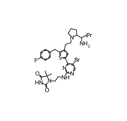 CC(C)C(N)C1CCCN1CCc1cc(-c2nc(NCCN3C(=O)NC(=O)C3(C)C)ncc2Br)sc1Cc1ccc(F)cc1